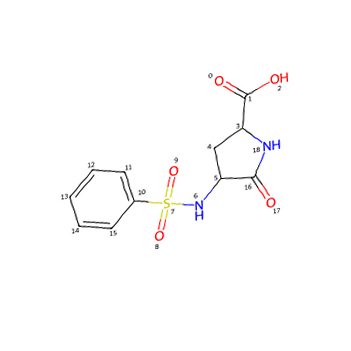 O=C(O)C1CC(NS(=O)(=O)c2ccccc2)C(=O)N1